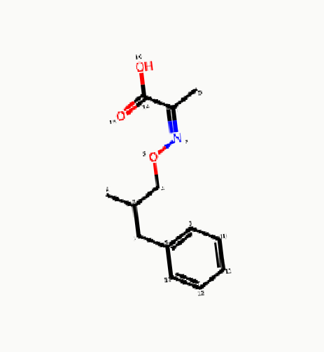 C/C(=N/OCC(C)Cc1ccccc1)C(=O)O